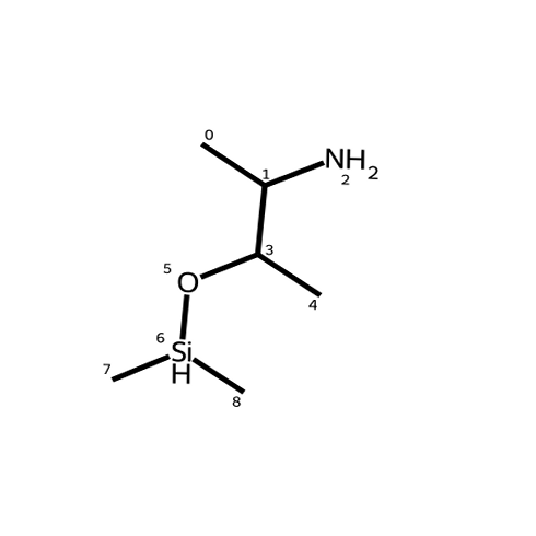 CC(N)C(C)O[SiH](C)C